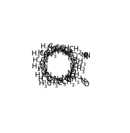 CC[C@@H]1NC(=O)[C@@H]2[C@@H]([C@H](C)CCCCCn3ccnn3)ON2C(=O)[C@H](C(C)C)N(C)C(=O)[C@H](CC(C)C)N(C)C(=O)[C@H](CC(C)C)N(C)C(=O)[C@@H](C)NC(=O)[C@H](C)NC(=O)[C@H](CC(C)C)N(C)C(=O)[C@H](C(C)C)NC(=O)[C@H]([C@@H](C)OCCCCN2CCOCC2)N(C)C(=O)[C@@H](C)N(C)C1=O